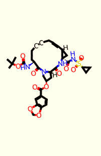 CC(C)(C)OC(=O)N[C@H]1CCCCC/C=C\[C@@H]2C[C@@]2(C(=O)NS(=O)(=O)C2CC2)NC(=O)[C@@H]2C[C@@H](OC(=O)c3ccc4c(c3)OCO4)CN2C1=O